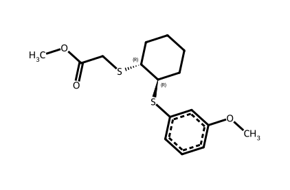 COC(=O)CS[C@@H]1CCCC[C@H]1Sc1cccc(OC)c1